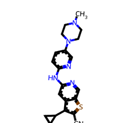 CN1CCN(c2ccc(Nc3cc4c(C5CC5)c(C#N)sc4cn3)nc2)CC1